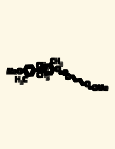 COCOCCCCOOCOc1ccc(C(C)(C)c2ccc(OC)c(C)c2)cc1C